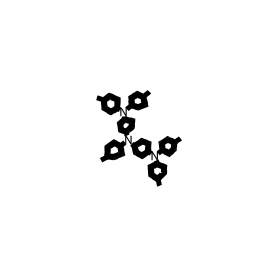 Cc1ccc(N(c2ccc(C)cc2)c2ccc(N(c3ccc(C)cc3)c3ccc(N(c4ccc(C)cc4)c4ccc(C)cc4)cc3)cc2)cc1